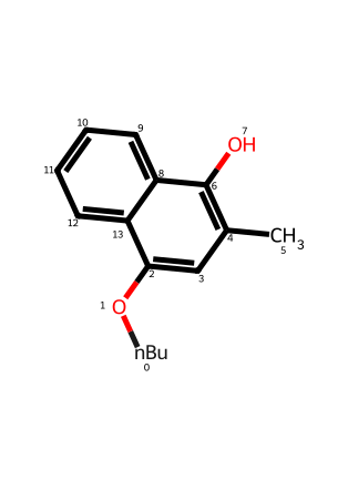 CCCCOc1cc(C)c(O)c2ccccc12